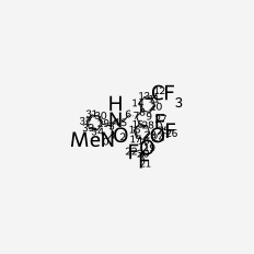 CNC(=O)[C@H](NCC[C@H](c1ccc(C(F)(F)F)cc1)c1ccc(OC(F)F)c(OC(F)F)c1)c1ccccc1